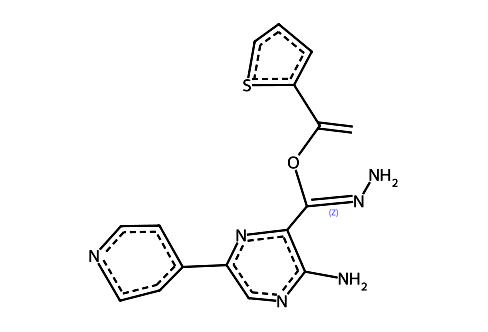 C=C(O/C(=N\N)c1nc(-c2ccncc2)cnc1N)c1cccs1